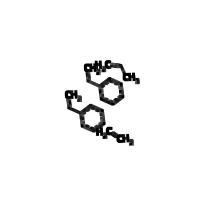 C=C.C=CC.C=Cc1ccccc1.C=Cc1ccccc1